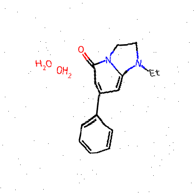 CCN1CCn2c1cc(-c1ccccc1)cc2=O.O.O